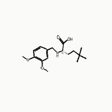 COc1ccc(CN[C@@H](CCC(C)(C)C)C(=O)O)cc1OC